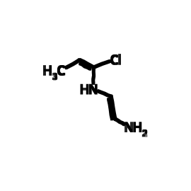 C/C=C(/Cl)NC=CN